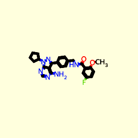 COc1ccc(F)cc1C(=O)NCc1ccc(-c2nn(C3CCCC3)c3ncnc(N)c23)cc1